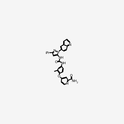 Cc1cc(NC(=O)Nc2cc(C(C)C)nn2-c2ccc3ncccc3c2)ccc1Oc1ccnc(C(N)=O)c1